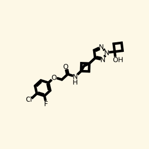 O=C(COc1ccc(Cl)c(F)c1)NC12CC(c3cnn(C4(O)CCC4)n3)(C1)C2